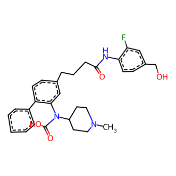 CN1CCC(N(C(=O)O)c2cc(CCCC(=O)Nc3ccc(CO)cc3F)ccc2-c2ccccc2)CC1